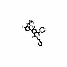 Nc1nc2c(-c3cc4c(=O)n(CCN5CCCC5)nc(N5CCCOCC5)c4cc3Cl)ccc(F)c2s1